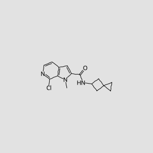 Cn1c(C(=O)NC2CC3(CC3)C2)cc2ccnc(Cl)c21